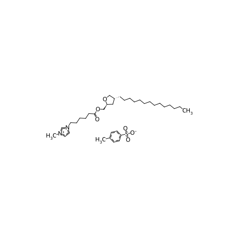 CCCCCCCCCCCCCC[C@H]1CO[C@H](COC(=O)CCCCCn2cc[n+](C)c2)C1.Cc1ccc(S(=O)(=O)[O-])cc1